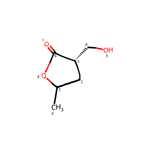 CC1C[C@@H](CO)C(=O)O1